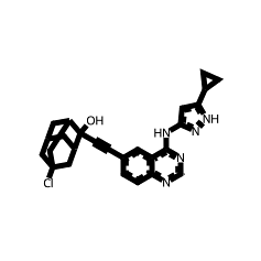 OC1(C#Cc2ccc3n[c]nc(Nc4cc(C5CC5)[nH]n4)c3c2)C2CC3CC1CC(Cl)(C3)C2